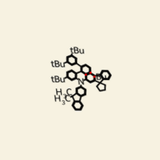 CC(C)(C)c1cc(-c2ccc(C(C)(C)C)cc2-c2ccc(C(C)(C)C)cc2N(c2ccc3c(c2)C(C)(C)c2ccccc2-3)c2ccc3c(c2)C2(CCCC2)c2ccccc2-3)cc(C(C)(C)C)c1